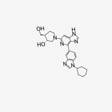 OC[C@H]1CCN(c2cc3[nH]cnc3c(-c3ccc4c(c3)ncn4C3CCCCC3)n2)C[C@@H]1O